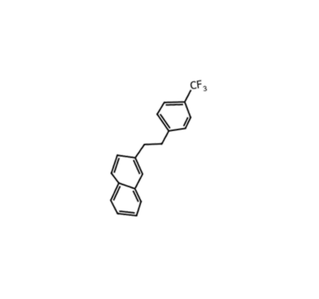 FC(F)(F)c1ccc(CCc2ccc3ccccc3c2)cc1